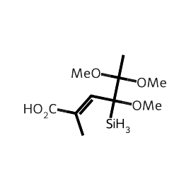 COC([SiH3])(C=C(C)C(=O)O)C(C)(OC)OC